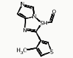 Cc1cscc1C1=Nc2cncn2[SH]1C=O